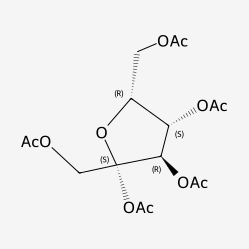 CC(=O)OC[C@H]1O[C@@](COC(C)=O)(OC(C)=O)[C@H](OC(C)=O)[C@H]1OC(C)=O